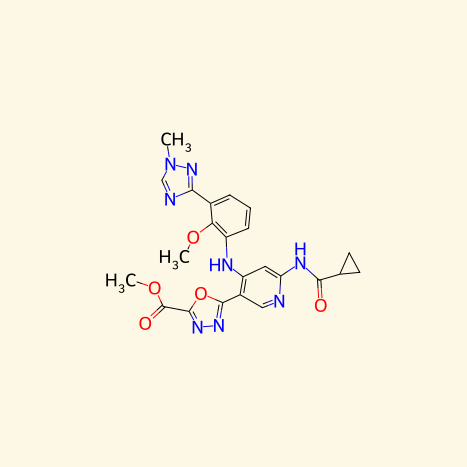 COC(=O)c1nnc(-c2cnc(NC(=O)C3CC3)cc2Nc2cccc(-c3ncn(C)n3)c2OC)o1